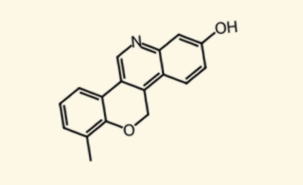 Cc1cccc2c1OCc1c-2cnc2cc(O)ccc12